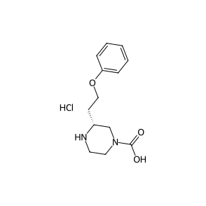 Cl.O=C(O)N1CCN[C@H](CCOc2ccccc2)C1